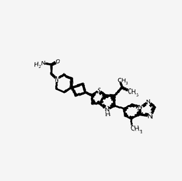 Cc1cc(-c2[nH]c3cc(C4CC5(CCN(CC(N)=O)CC5)C4)sc3c2C(C)C)cn2ncnc12